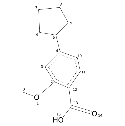 COc1cc(C2CCCC2)ccc1C(=O)O